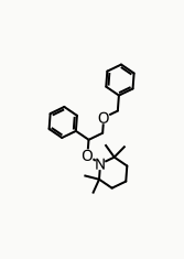 CC1(C)CCCC(C)(C)N1OC(COCc1ccccc1)c1ccccc1